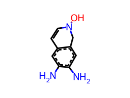 Nc1cc2c(cc1N)CN(O)C=C2